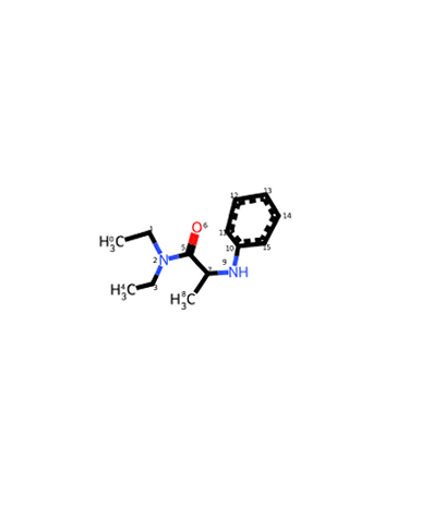 CCN(CC)C(=O)C(C)Nc1ccccc1